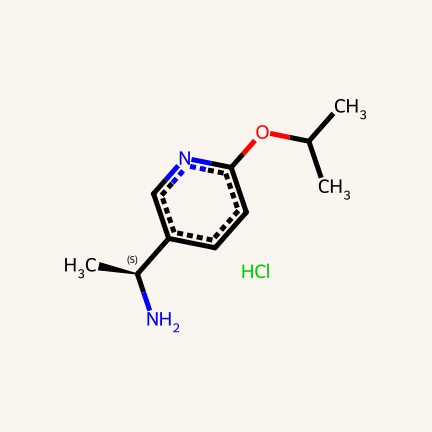 CC(C)Oc1ccc([C@H](C)N)cn1.Cl